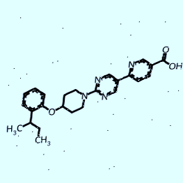 CCC(C)c1ccccc1OC1CCN(c2ncc(-c3ccc(C(=O)O)cn3)cn2)CC1